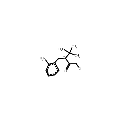 CC(C)(C)[C@H](Cc1ccccc1N)C(=O)CCl